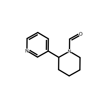 O=CN1CCCCC1c1cccnc1